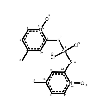 Cc1cc[n+]([O-])c([S][Sn]([Cl])([Cl])[S]c2cc(C)cc[n+]2[O-])c1